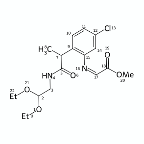 CCOC(CNC(=O)C(C)c1ccc(Cl)cc1/N=C\C(=O)OC)OCC